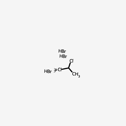 Br.Br.Br.CC(Cl)Cl.[P]